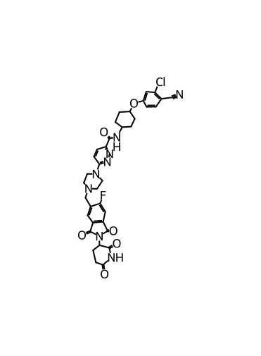 N#Cc1ccc(OC2CCC(NC(=O)c3ccc(N4CCN(Cc5cc6c(cc5F)C(=O)N(C5CCC(=O)NC5=O)C6=O)CC4)nn3)CC2)cc1Cl